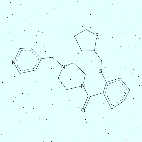 O=C(c1ccccc1SCC1CCCS1)N1CCN(Cc2ccncc2)CC1